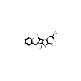 CC1=C(OC(=O)O)N2C(=O)C(Cc3ccccc3)[C@@H]2S1